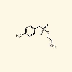 C=CCOS(=O)(=O)Cc1ccc(C)cc1